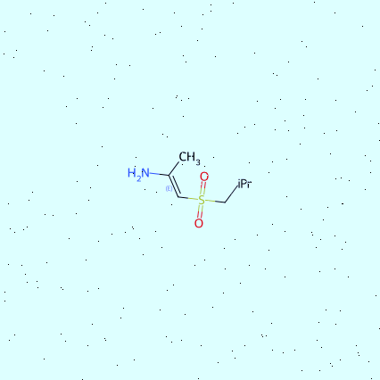 C/C(N)=C\S(=O)(=O)CC(C)C